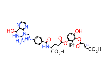 CC(C)c1c(OC(=O)CCC(NC(=O)c2ccc(NCN3c4nccnc4C(O)NC3N)cc2)C(=O)O)ccc(O)c1OC(=O)/C=C/C(=O)O